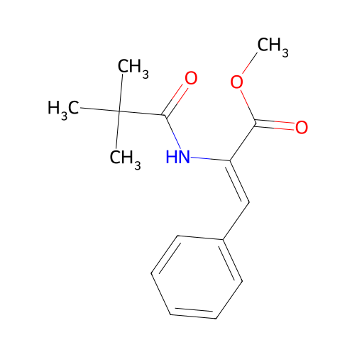 COC(=O)/C(=C/c1ccccc1)NC(=O)C(C)(C)C